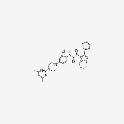 Cc1cc(C)nc(N2CCN(c3ccc(NC(=O)C(=O)c4c(-c5ccccc5)cc5n4CCCC5)c(Cl)c3)CC2)c1